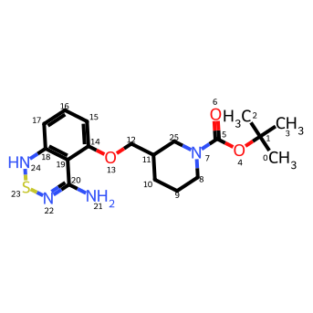 CC(C)(C)OC(=O)N1CCCC(COc2cccc3c2C(N)=NSN3)C1